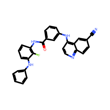 N#Cc1ccc2nccc(Nc3cccc(C(=O)Nc4cccc(Nc5ccccc5)c4F)c3)c2c1